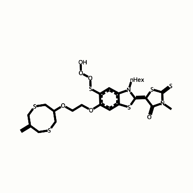 C=C1CSCC(OCCOc2cc3c(cc2SOOO)N(CCCCCC)/C(=C2\SC(=S)N(C)C2=O)S3)CSC1